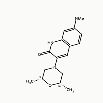 CNc1ccc2cc(N3C[C@@H](C)O[C@@H](C)C3)c(=O)[nH]c2c1